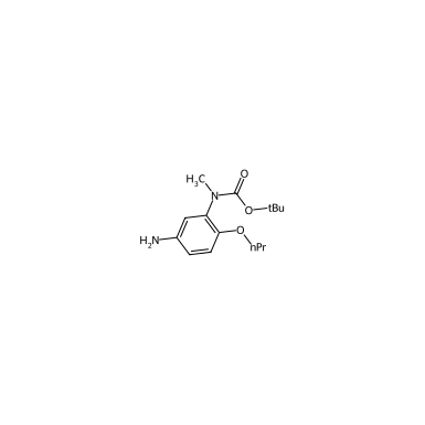 CCCOc1ccc(N)cc1N(C)C(=O)OC(C)(C)C